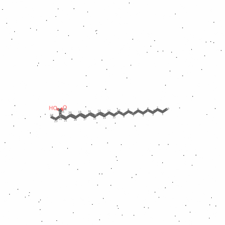 CCCCCCCCCCCCCC=CC=CC=CC=CC=C(CC)C(=O)O